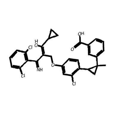 CC1(c2cccc(C(=O)O)c2)CC1c1ccc(OC/C(C(=N)c2c(Cl)cccc2Cl)=C(/O)C2CC2)cc1Cl